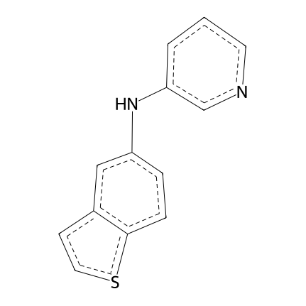 c1cncc(Nc2ccc3sccc3c2)c1